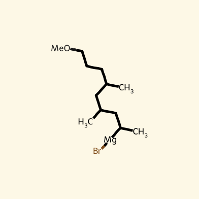 COCCCC(C)CC(C)C[CH](C)[Mg][Br]